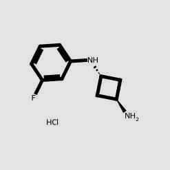 Cl.N[C@H]1C[C@H](Nc2cccc(F)c2)C1